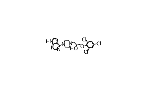 OC(COc1c(Cl)cc(Cl)cc1Cl)CN1CCN(c2ncnc3[nH]ccc23)CC1